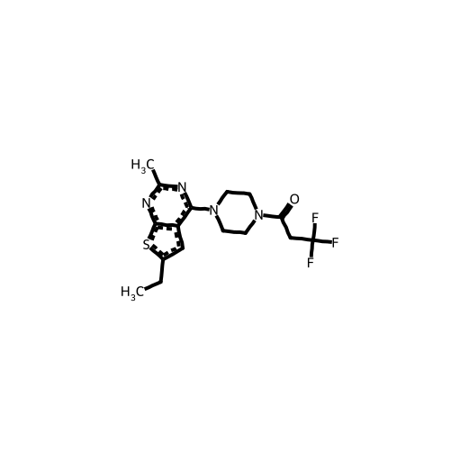 CCc1cc2c(N3CCN(C(=O)CC(F)(F)F)CC3)nc(C)nc2s1